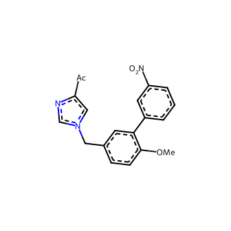 COc1ccc(Cn2cnc(C(C)=O)c2)cc1-c1cccc([N+](=O)[O-])c1